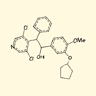 COc1ccc(C(O)C(c2ccccc2)c2c(Cl)cncc2Cl)cc1OC1CCCC1